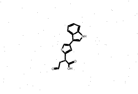 O=CCC(C(=O)O)c1cc(-c2c[nH]c3ccccc23)cs1